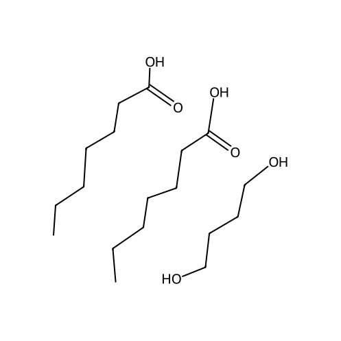 CCCCCCC(=O)O.CCCCCCC(=O)O.OCCCCO